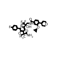 C[C@]1(C(N)=O)COc2c1cc([C@@](O)(CNC(=O)c1ccc(C3=CCOCC3)c(OC3CC3)c1)C(F)(F)F)nc2-c1ccc(F)cc1